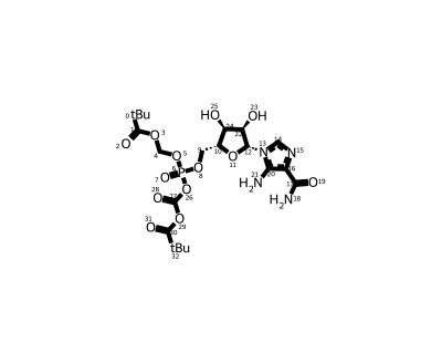 CC(C)(C)C(=O)OCOP(=O)(OC[C@H]1O[C@@H](n2cnc(C(N)=O)c2N)[C@H](O)[C@@H]1O)OC(=O)OC(=O)C(C)(C)C